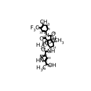 Cc1ccc(N2C(=O)[C@@H]3[C@H](C2=O)[C@@]2(C)C[C@@H](NC(=O)c4cc(C(C)O)[nH]n4)[C@]3(C)O2)cc1C(F)(F)F